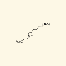 COCCCCC1CN(CCOC)C1